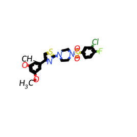 COc1cc(OC)cc(-c2csc(N3CCN(S(=O)(=O)c4ccc(F)c(Cl)c4)CC3)n2)c1